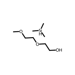 COCCOCCO.C[SiH](C)C